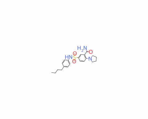 CCCCc1ccc(NS(=O)(=O)c2ccc(N3CCCC3)c(C(N)=O)c2)cc1